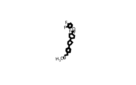 COCCc1ccc(C2CCC(C3CCC(C(F)(F)Oc4ccc(F)c(F)c4)CC3)CC2)cc1